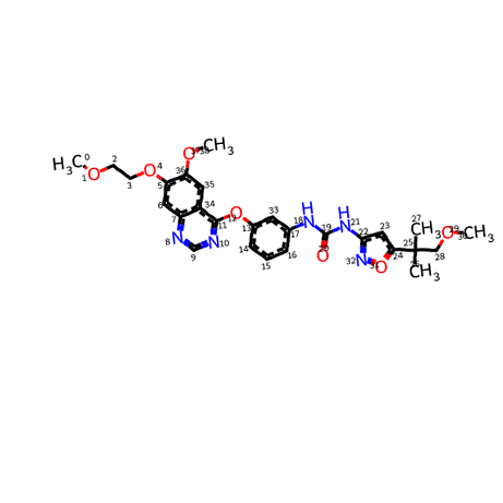 COCCOc1cc2ncnc(Oc3cccc(NC(=O)Nc4cc(C(C)(C)COC)on4)c3)c2cc1OC